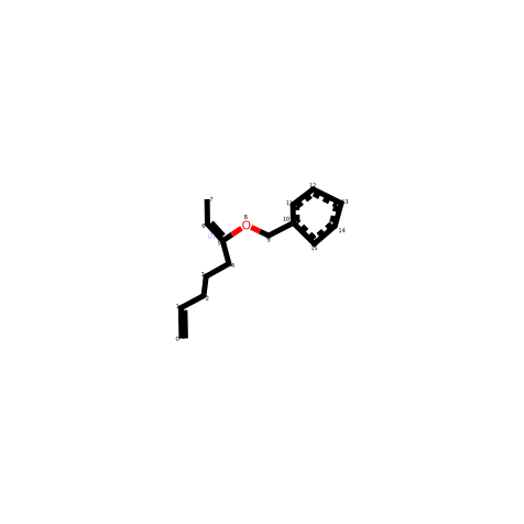 C=CCCC/C(=C/C)OCc1ccccc1